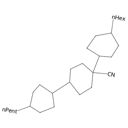 CCCCCCC1CCC(C2(C#N)CCC(C3CCC(CCCCC)CC3)CC2)CC1